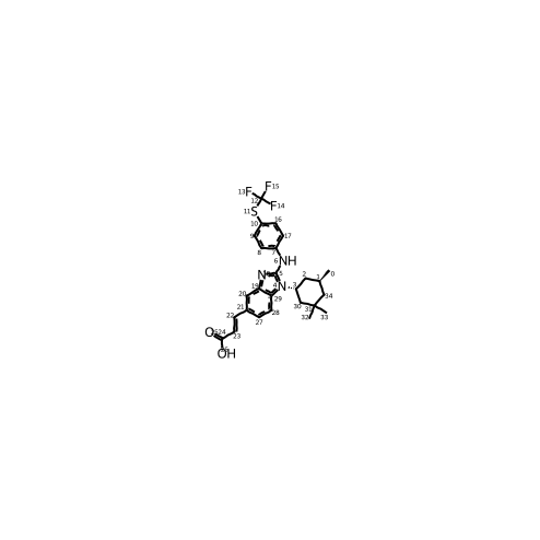 C[C@@H]1C[C@@H](n2c(Nc3ccc(SC(F)(F)F)cc3)nc3cc(/C=C/C(=O)O)ccc32)CC(C)(C)C1